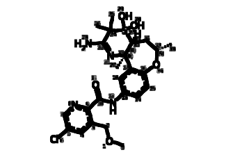 COCc1cc(Cl)cnc1C(=O)Nc1ccc2c(c1)[C@@]1(C)N=C(N)C(C)(C)S(O)(O)[C@@H]1C[C@H](C)O2